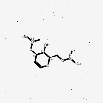 C[SiH](OC[C@H]1OC=C[C@@H](O[SiH](C)C(C)(C)C)[C@H]1O)C(C)(C)C